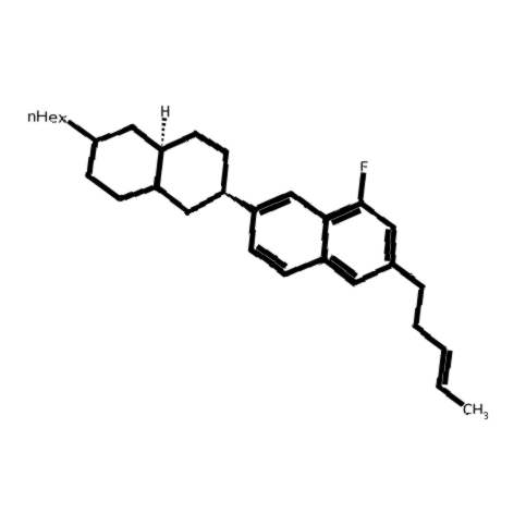 C/C=C/CCc1cc(F)c2cc([C@@H]3CC[C@@H]4CC(CCCCCC)CCC4C3)ccc2c1